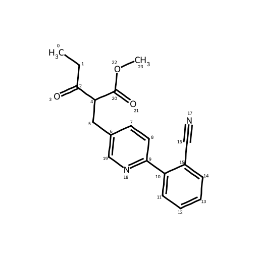 CCC(=O)C(Cc1ccc(-c2ccccc2C#N)nc1)C(=O)OC